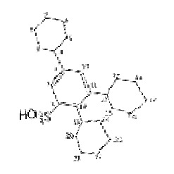 O=S(=O)(O)c1cc(C2CCCCC2)cc(C2CCCCC2)c1C1CCCCC1